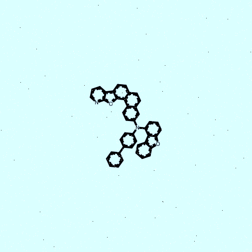 c1ccc(-c2ccc(N(c3ccc4c(ccc5ccc6c7cccnc7oc6c54)c3)c3cccc4oc5ccccc5c34)cc2)cc1